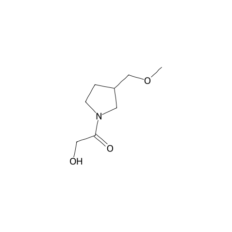 COCC1CCN(C(=O)CO)C1